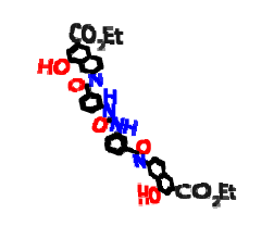 CCOC(=O)C1=CC(O)=C2CC(=NC(=O)c3cccc(NC(=O)Nc4cccc(C(=O)N=C5C=CC6CC(C(=O)OCC)=CC(O)=C6C5)c4)c3)C=CC2C1